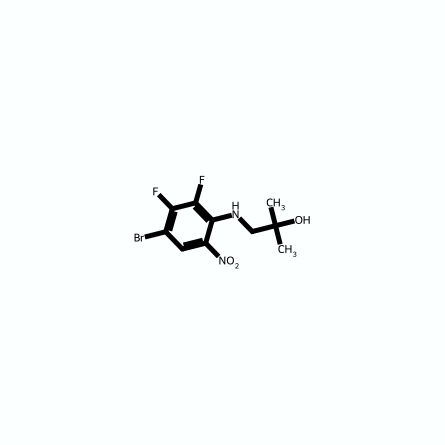 CC(C)(O)CNc1c([N+](=O)[O-])cc(Br)c(F)c1F